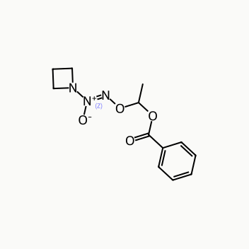 CC(O/N=[N+](\[O-])N1CCC1)OC(=O)c1ccccc1